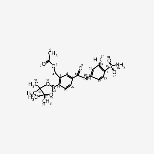 CC(=O)OCc1cc(C(=O)Nc2ccc(S(N)(=O)=O)c(C)c2)ccc1B1OC(C)(C)C(C)(C)O1